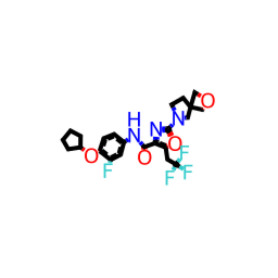 O=C(Nc1ccc(OC2CCCC2)c(F)c1)c1nc(N2CCC3(COC3)C2)oc1CC(F)(F)F